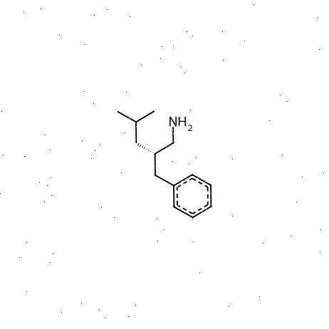 CC(C)C[C@H](CN)Cc1ccccc1